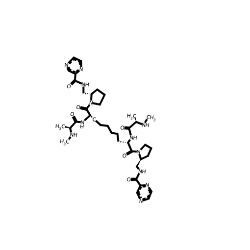 CN[C@@H](C)C(=O)N[C@@H](CCCCCC[C@H](NC(=O)[C@H](C)NC)C(=O)N1CCC[C@H]1CNC(=O)c1cnccn1)C(=O)N1CCC[C@H]1CNC(=O)c1cnccn1